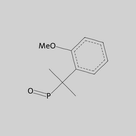 COc1ccccc1C(C)(C)P=O